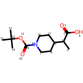 CC(C(=O)O)C1CCN(C(=O)OC(C)(C)C)CC1